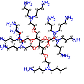 CCCCN(CCCN)CCOCC(OCCN(CCCN)CCCN)C(OCCN(CCCN)CCCN)C(OCCN(CCCN)CCCN)C(COCCN(CCCN)CCCN)OCCN(CCCN)CCCN